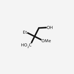 CCC(CO)(OC)C(=O)O